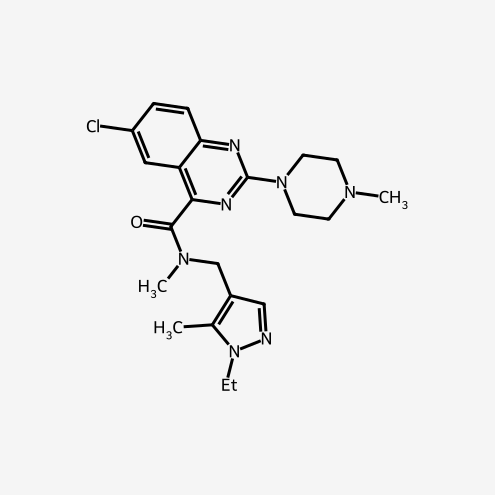 CCn1ncc(CN(C)C(=O)c2nc(N3CCN(C)CC3)nc3ccc(Cl)cc23)c1C